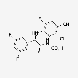 C[C@H](NC(=O)O)[C@H](Nc1nc(Cl)c(C#N)cc1F)c1cc(F)cc(F)c1